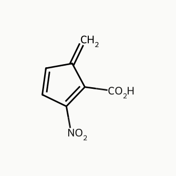 C=C1C=CC([N+](=O)[O-])=C1C(=O)O